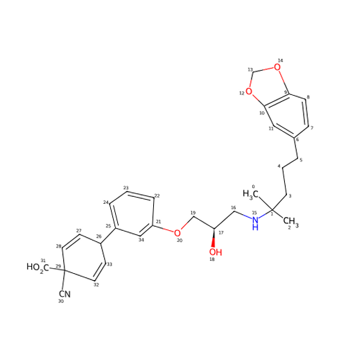 CC(C)(CCCc1ccc2c(c1)OCO2)NC[C@@H](O)COc1cccc(C2C=CC(C#N)(C(=O)O)C=C2)c1